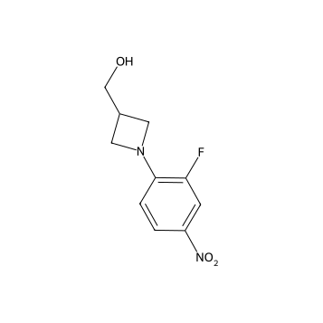 O=[N+]([O-])c1ccc(N2CC(CO)C2)c(F)c1